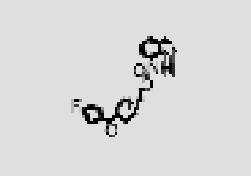 O=C(Nc1cccc2cn[nH]c12)OCCN1CCC(C(=O)c2ccc(F)cc2)CC1